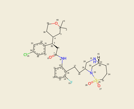 CC1(C)CC([C@@H](CC(=O)Nc2cccc(F)c2CCC2CN[C@@H]3CCCS(=O)(=O)N2C3)c2ccc(Cl)cc2)CCO1